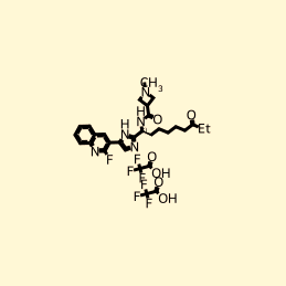 CCC(=O)CCCCC[C@H](NC(=O)C1CN(C)C1)c1ncc(-c2cc3ccccc3nc2F)[nH]1.O=C(O)C(F)(F)F.O=C(O)C(F)(F)F